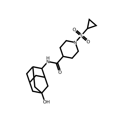 O=C(NC1C2CC3CC1CC(O)(C3)C2)C1CCN(S(=O)(=O)C2CC2)CC1